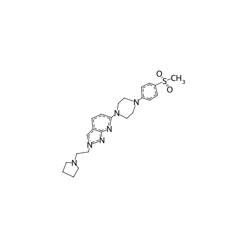 CS(=O)(=O)c1ccc(N2CCN(c3ccc4cn(CCN5CCCC5)nc4n3)CC2)cc1